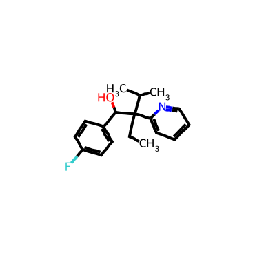 CCC(c1ccccn1)(C(C)C)C(O)c1ccc(F)cc1